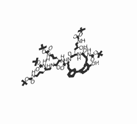 CC(C)(C)OC(=O)NCCC[C@@H](CNC(=O)[C@H](CCCNC(=O)OC(C)(C)C)NC(=O)[C@@H]1Cc2cccc(c2)-c2ccc(O)c(c2)C[C@H](NC(=O)OC(C)(C)C)C(=O)N[C@@H](C[C@@H](O)CNC(=O)OC(C)(C)C)C(=O)N1)NC(=O)OC(C)(C)C